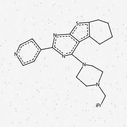 CC(C)CN1CCN(c2nc(-c3ccncc3)nc3sc4c(c23)CCCC4)CC1